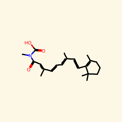 CC(C=CC1=C(C)CCCC1(C)C)=CC=CC(C)=CC(=O)N(C)C(=O)O